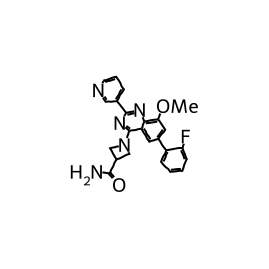 COc1cc(-c2ccccc2F)cc2c(N3CC(C(N)=O)C3)nc(-c3cccnc3)nc12